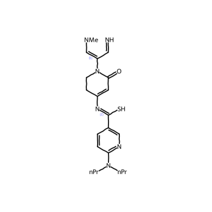 CCCN(CCC)c1ccc(/C(S)=N/C2=CC(=O)N(/C(C=N)=C/NC)CC2)cn1